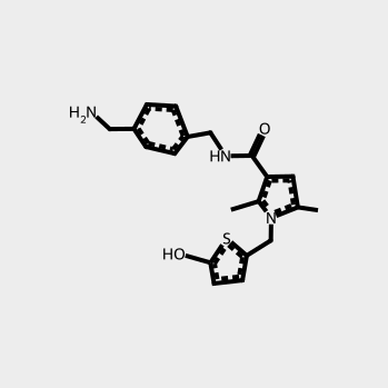 Cc1cc(C(=O)NCc2ccc(CN)cc2)c(C)n1Cc1ccc(O)s1